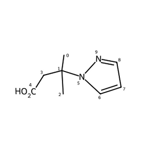 CC(C)(CC(=O)O)n1cccn1